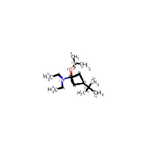 CCN(CC)C1(O[SiH](C)C)CC(C(C)(C)C)C1